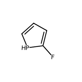 Fc1ccc[pH]1